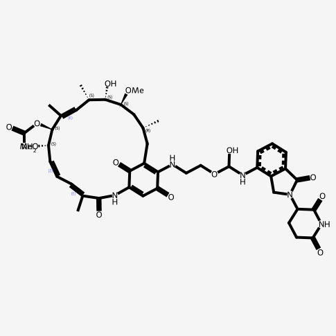 CO[C@H]1/C=C\C=C(/C)C(=O)NC2=CC(=O)C(NCCOC(O)Nc3cccc4c3CN(C3CCC(=O)NC3=O)C4=O)=C(C[C@@H](C)C[C@H](OC)[C@@H](O)[C@@H](C)/C=C(\C)[C@@H]1OC(N)=O)C2=O